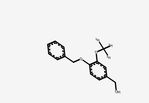 [2H]C([2H])([2H])Oc1cc(CO)ccc1OCc1ccccc1